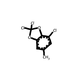 Cc1cc(Cl)c2c(c1)OC(Cl)(Cl)O2